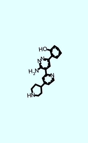 Nc1nnc(-c2ccccc2O)cc1-c1cc(C2CCNCC2)ccn1